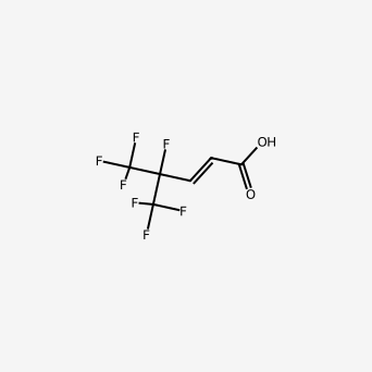 O=C(O)C=CC(F)(C(F)(F)F)C(F)(F)F